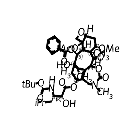 CO[C@H]1C[C@H]2OC[C@@]2(OC(C)=O)[C@H]2[C@H](OC(=O)c3ccccc3)[C@]3(O)C[C@H](OC(=O)[C@H](O)[C@H](CC(C)C)NC(=O)OC(C)(C)C)C4=C([C@@H](OC(=O)N(C)C4)C(=O)[C@]12C)C3(C)C